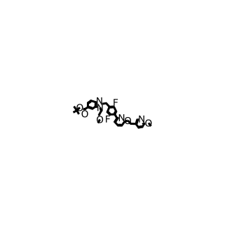 COCCn1c(Cc2cc(F)c(-c3cccc(OCc4ccc(OC)nc4)n3)cc2F)nc2ccc(C(=O)OC(C)(C)C)cc21